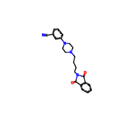 N#Cc1cccc(N2CCN(CCCCN3C(=O)c4ccccc4C3=O)CC2)c1